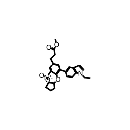 CCn1ccc2cc(-c3cc(CCC(=O)OC)cc([N+](=O)[O-])c3OC3CCCC3)ccc21